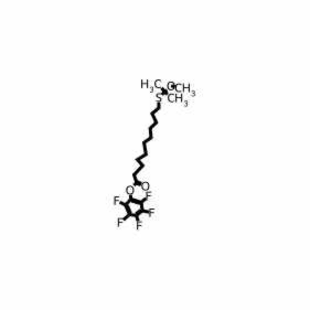 COC(C)(C)SCCCCCCCCCCC(=O)Oc1c(F)c(F)c(F)c(F)c1F